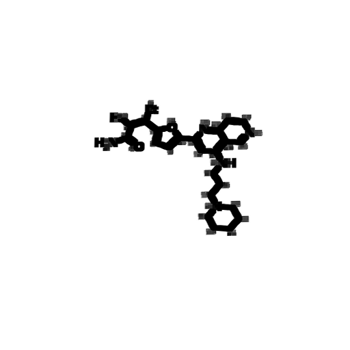 CCC(C(N)=O)=C(CC)c1ccc(-c2cc(NCCCN3CCCCC3)c3cnccc3n2)o1